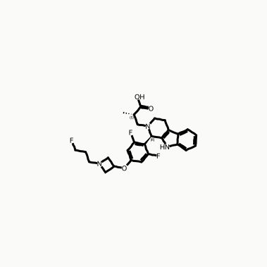 C[C@@H](CN1CCc2c([nH]c3ccccc23)[C@H]1c1c(F)cc(OC2CN(CCCF)C2)cc1F)C(=O)O